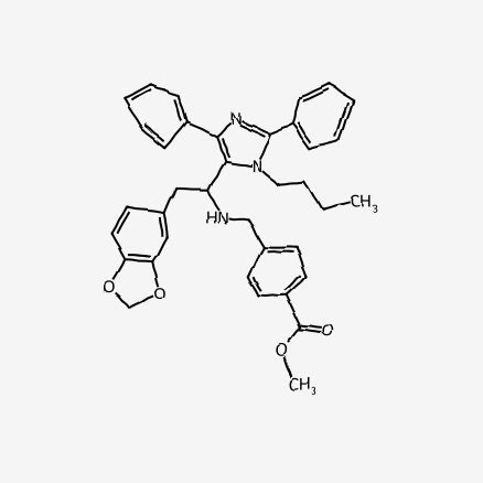 CCCCn1c(-c2ccccc2)nc(-c2ccccc2)c1C(Cc1ccc2c(c1)OCO2)NCc1ccc(C(=O)OC)cc1